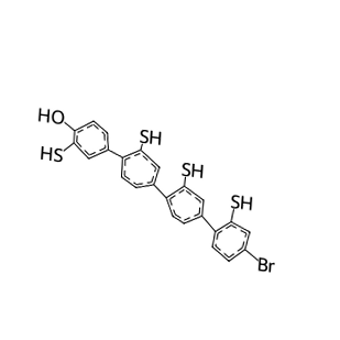 Oc1ccc(-c2ccc(-c3ccc(-c4ccc(Br)cc4S)cc3S)cc2S)cc1S